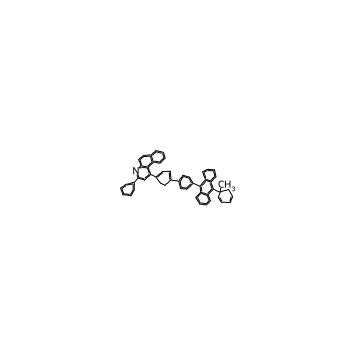 CC1(c2c3ccccc3c(-c3ccc(C4=CC=C(c5cc(-c6ccccc6)nc6ccc7ccccc7c56)CC4)cc3)c3ccccc23)C=CC=CC1